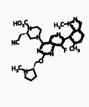 Cc1ccc2cnn(C)c2c1-c1ncc2c(N3CCN(C(=O)O)[C@@H](CC#N)C3)nc(OC[C@@H]3CCCN3C)nc2c1F